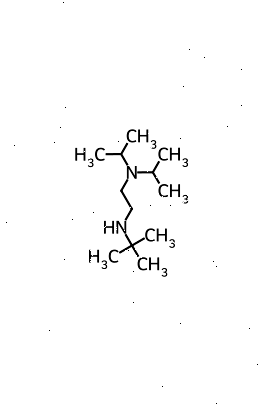 CC(C)N(CCNC(C)(C)C)C(C)C